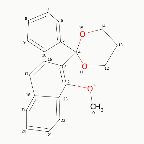 COc1c(C2(c3ccccc3)OCCCO2)ccc2ccccc12